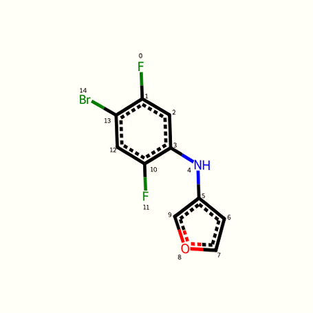 Fc1cc(Nc2ccoc2)c(F)cc1Br